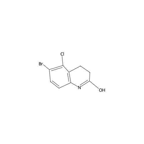 OC1=Nc2ccc(Br)c(Cl)c2CC1